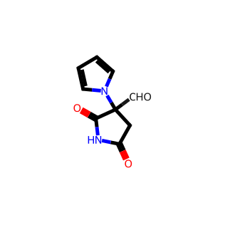 O=CC1(n2cccc2)CC(=O)NC1=O